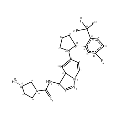 O=C(NC1C=NN2C=CC(N3CCC[C@@H]3c3cc(F)ccc3C(F)(F)F)=NC12)N1CC[C@H](O)C1